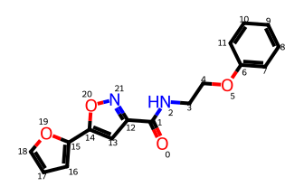 O=C(NCCOc1ccccc1)c1cc(-c2ccco2)on1